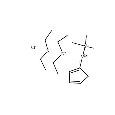 CC[N-]CC.CC[N-]CC.C[Si](C)(C)[V+3][C]1=CC=CC1.[Cl-]